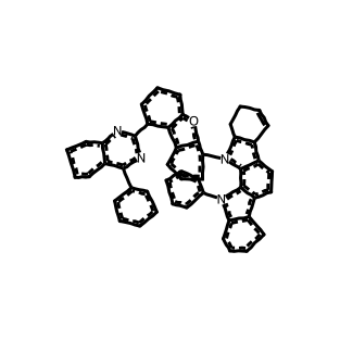 C1=Cc2c(n(-c3cccc4c3oc3cccc(-c5nc(-c6ccccc6)c6ccccc6n5)c34)c3c2ccc2c4ccccc4n(-c4ccccc4)c23)CC1